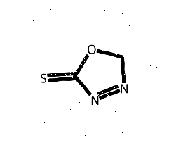 S=C1N=NCO1